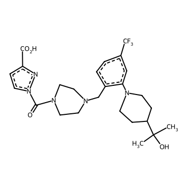 CC(C)(O)C1CCN(c2cc(C(F)(F)F)ccc2CN2CCN(C(=O)n3ccc(C(=O)O)n3)CC2)CC1